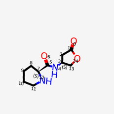 O=C1C[C@H](NC(=O)[C@@H]2CCCCN2)CO1